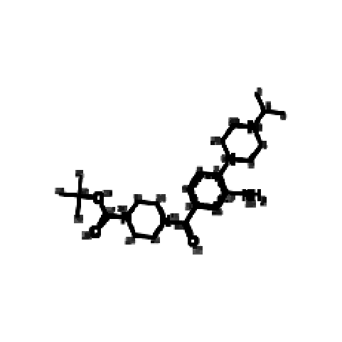 CC(C)N1CCN(c2ccc(C(=O)N3CCN(C(=O)OC(C)(C)C)CC3)cc2N)CC1